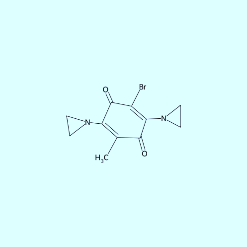 CC1=C(N2CC2)C(=O)C(Br)=C(N2CC2)C1=O